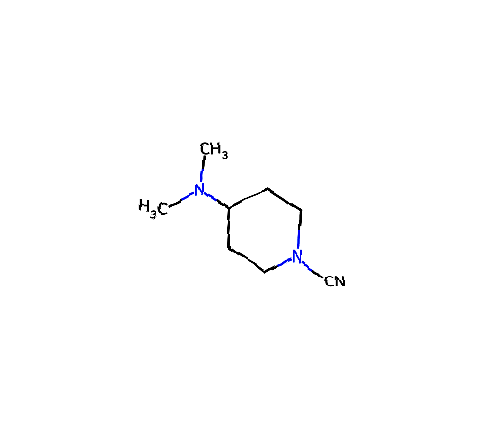 CN(C)C1CCN(C#N)CC1